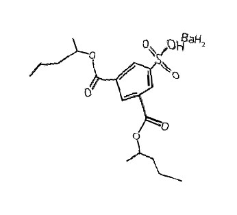 CCCC(C)OC(=O)c1cc(C(=O)OC(C)CCC)cc(S(=O)(=O)O)c1.[BaH2]